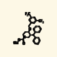 CC(C)(C)OC(=O)N1CC[C@@H](OCc2cc(C(F)(F)F)cc(C(F)(F)F)c2)[C@@H](C(c2ccccc2)c2ccccc2)C1